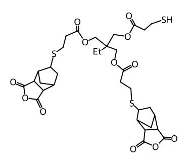 CCC(COC(=O)CCS)(COC(=O)CCSC1CC2CC1C1C(=O)OC(=O)C21)COC(=O)CCSC1CC2CC1C1C(=O)OC(=O)C21